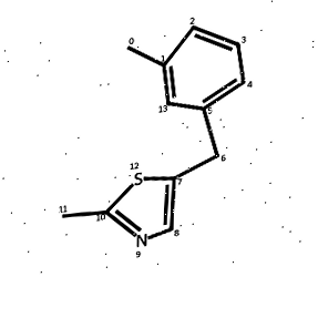 Cc1cccc(Cc2cnc(C)s2)c1